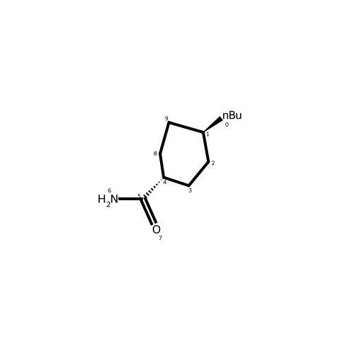 CCCC[C@H]1CC[C@H](C(N)=O)CC1